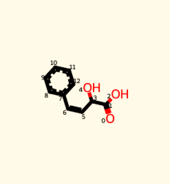 O=C(O)C(O)/C=C\c1ccccc1